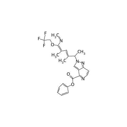 C=N/C(OCC(F)(F)F)=C(C)\C=C(/C)C(C)n1cc2c(C(=O)Oc3ccccc3)nccc2n1